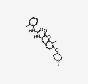 Cc1ccccc1NC(=O)Nc1cc2ccc(OC3CCN(C)CC3)c(C)c2oc1=O